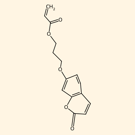 C=CC(=O)OCCCOc1ccc2ccc(=O)oc2c1